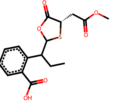 CCC(c1ccccc1C(=O)O)C1OC(=O)[C@H](CC(=O)OC)S1